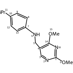 COc1ncc(CNc2ccc(C(C)C)cc2)c(OC)n1